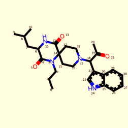 CCCN1C(=O)C(CC(C)C)NC(=O)C12CCN(C(C(C)=O)c1c[nH]c3ccccc13)CC2